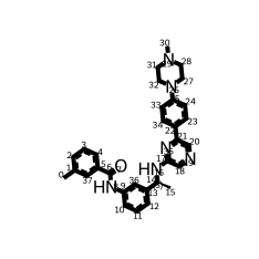 Cc1cccc(C(=O)Nc2cccc([C@H](C)Nc3cncc(-c4ccc(N5CCN(C)CC5)cc4)n3)c2)c1